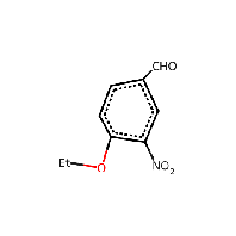 CCOc1ccc(C=O)cc1[N+](=O)[O-]